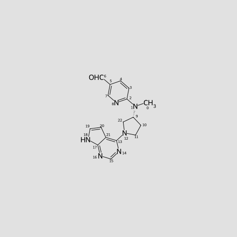 CN(c1ccc(C=O)cn1)[C@@H]1CCN(c2ncnc3[nH]ccc23)C1